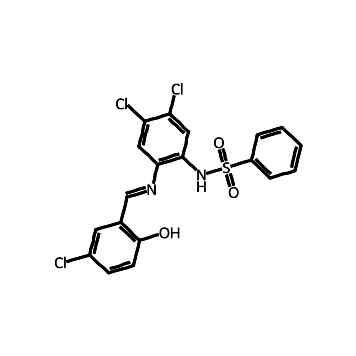 O=S(=O)(Nc1cc(Cl)c(Cl)cc1/N=C/c1cc(Cl)ccc1O)c1ccccc1